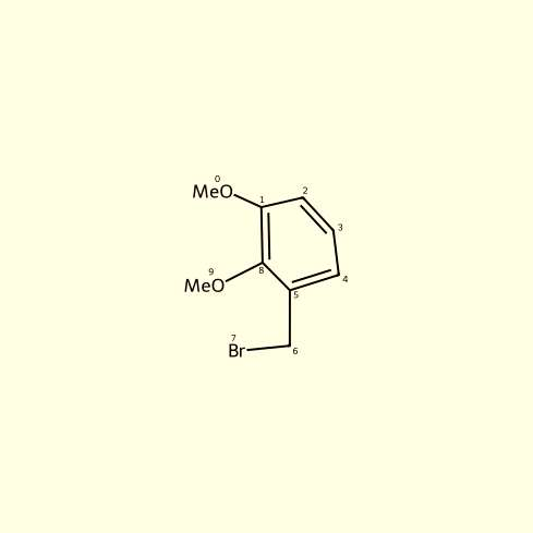 COc1cccc(CBr)c1OC